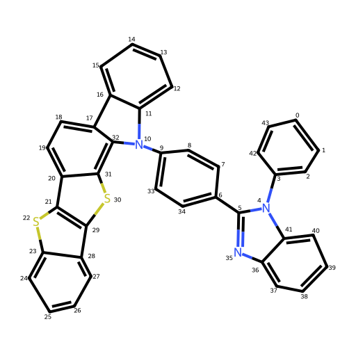 c1ccc(-n2c(-c3ccc(-n4c5ccccc5c5ccc6c7sc8ccccc8c7sc6c54)cc3)nc3ccccc32)cc1